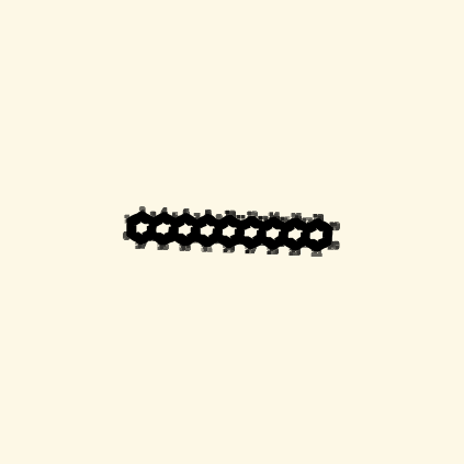 c1ccc2cc3cc4cc5cc6cc7cc8cc9ccccc9cc8cc7cc6cc5cc4cc3cc2c1